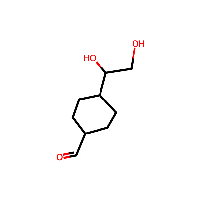 O=CC1CCC(C(O)CO)CC1